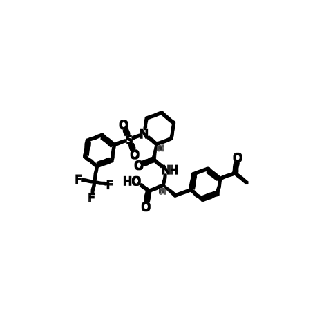 CC(=O)c1ccc(C[C@H](NC(=O)[C@@H]2CCCCN2S(=O)(=O)c2cccc(C(F)(F)F)c2)C(=O)O)cc1